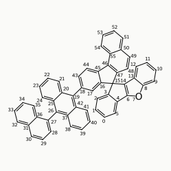 c1ccc2c(c1)-c1oc3ccccc3c1C21c2cc(-c3c4ccccc4c(-c4cccc5ccccc45)c4ccccc34)ccc2-c2c1ccc1ccccc21